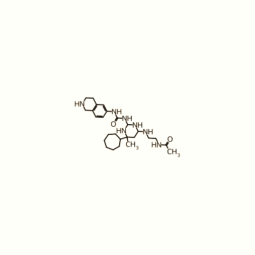 CC(=O)NCCNC1CC(C)(C2CCCCCC2)NC(NC(=O)Nc2ccc3c(c2)CCNC3)N1